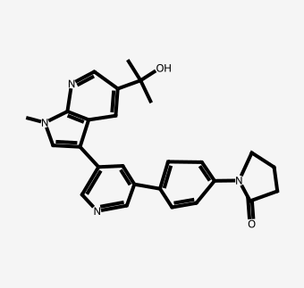 Cn1cc(-c2cncc(-c3ccc(N4CCCC4=O)cc3)c2)c2cc(C(C)(C)O)cnc21